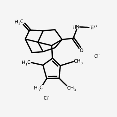 C=C1C2CC3CC1C(C1=C(C)C(C)=C(C)C1C)C(C(=O)[NH][Ti+2])(C3)C2.[Cl-].[Cl-]